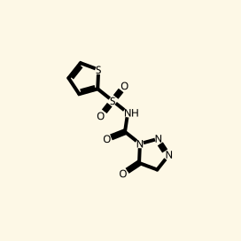 O=C1CN=NN1C(=O)NS(=O)(=O)c1cccs1